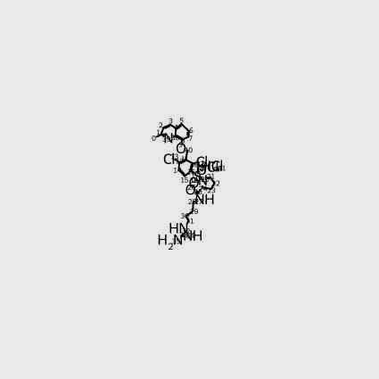 Cc1ccc2cccc(OCc3c(Cl)ccc(S(=O)(=O)N4CCC[C@H]4C(=O)NCCCCNC(=N)N)c3Cl)c2n1.Cl.Cl